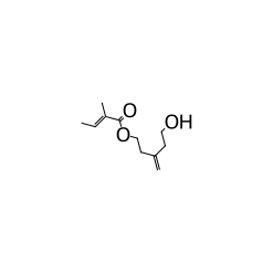 C=C(CCO)CCOC(=O)C(C)=CC